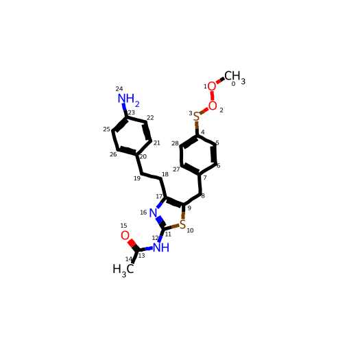 COOSc1ccc(Cc2sc(NC(C)=O)nc2CCc2ccc(N)cc2)cc1